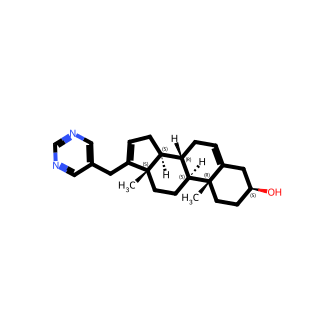 C[C@]12CC[C@H](O)CC1=CC[C@@H]1[C@@H]2CC[C@]2(C)C(Cc3cncnc3)=CC[C@@H]12